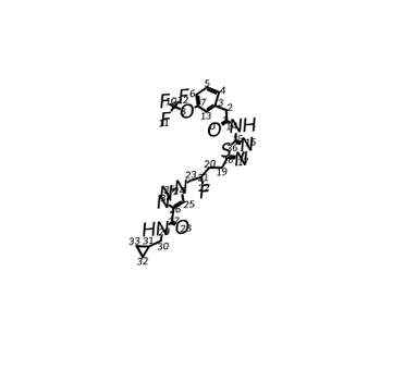 O=C(Cc1cccc(OC(F)(F)F)c1)Nc1nnc(CCC(F)Cn2cc(C(=O)NCC3CC3)nn2)s1